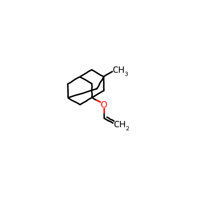 C=COC12CC3CC(CC(C)(C3)C1)C2